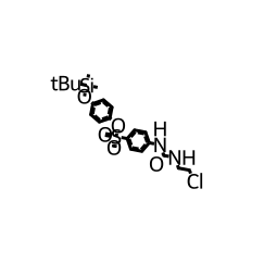 CC(C)(C)[Si](C)(C)Oc1ccc(OS(=O)(=O)c2ccc(NC(=O)NCCCl)cc2)cc1